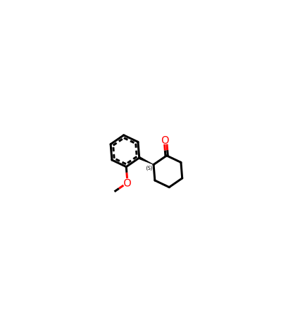 COc1ccccc1[C@@H]1CCCCC1=O